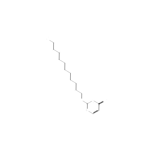 O=C1C=CNC(SCCCCCCCCCCCO)N1